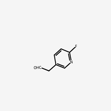 O=CCc1ccc(F)nc1